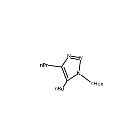 CCCCCCn1nnc(CCC)c1CCCC